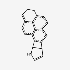 C1=CC2c3cc4ccc5c6c(ccc(c3C2N1)c46)=CCC5